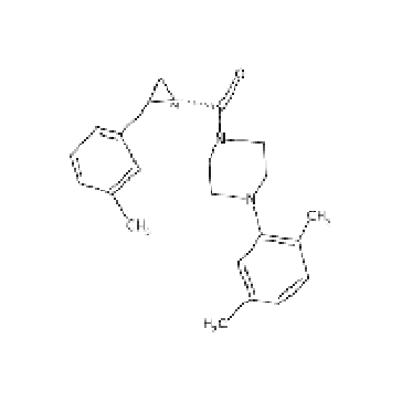 Cc1cccc(C2C[C@@H]2C(=O)N2CCN(c3cc(C)ccc3C)CC2)c1